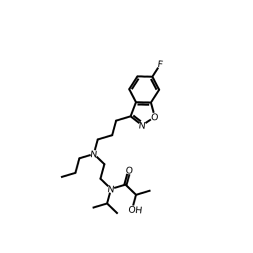 CCCN(CCCc1noc2cc(F)ccc12)CCN(C(=O)C(C)O)C(C)C